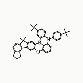 CC(C)(C)c1ccc(N2c3ccc(C(C)(C)C)cc3B3c4cc5c(cc4Oc4cccc2c43)-c2c(ccc3c2CCC3)C5(C)C)cc1